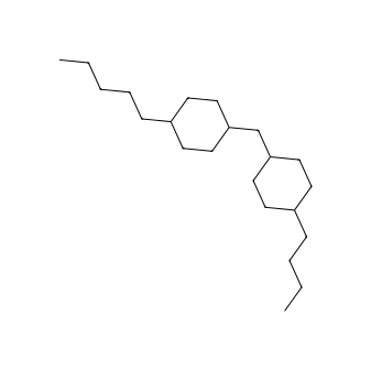 CCCCCC1CCC(CC2CCC(CCCC)CC2)CC1